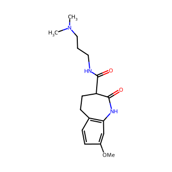 COc1ccc2c(c1)NC(=O)C(C(=O)NCCCN(C)C)CC2